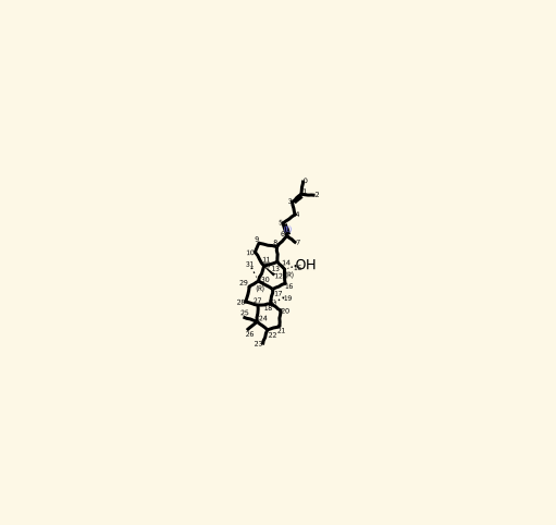 CC(C)=CC/C=C(\C)C1CC[C@]2(C)C1[C@H](O)CC1[C@@]3(C)CCC(C)C(C)(C)C3CC[C@]12C